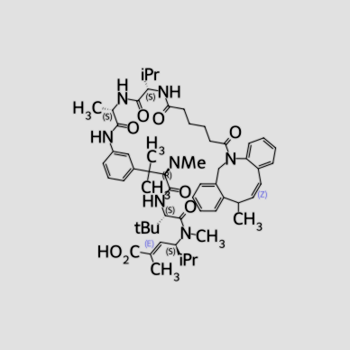 CN[C@@H](C(=O)N[C@H](C(=O)N(C)[C@H](/C=C(\C)C(=O)O)C(C)C)C(C)(C)C)C(C)(C)c1cccc(NC(=O)[C@H](C)NC(=O)[C@@H](NC(=O)CCCCC(=O)N2Cc3ccccc3C(C)/C=C\c3ccccc32)C(C)C)c1